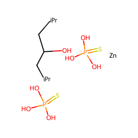 CC(C)CC(O)CC(C)C.OP(O)(O)=S.OP(O)(O)=S.[Zn]